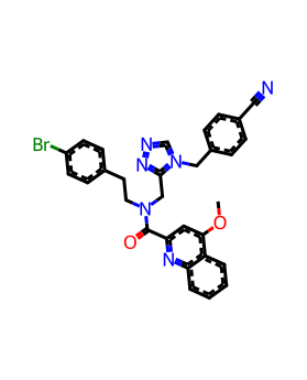 COc1cc(C(=O)N(CCc2ccc(Br)cc2)Cc2nncn2Cc2ccc(C#N)cc2)nc2ccccc12